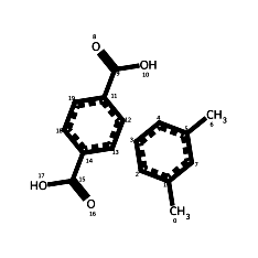 Cc1cccc(C)c1.O=C(O)c1ccc(C(=O)O)cc1